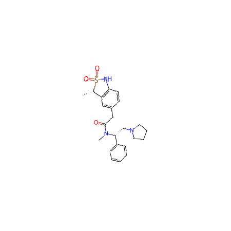 C[C@H]1c2cc(CC(=O)N(C)[C@H](CN3CCCC3)c3ccccc3)ccc2NS1(=O)=O